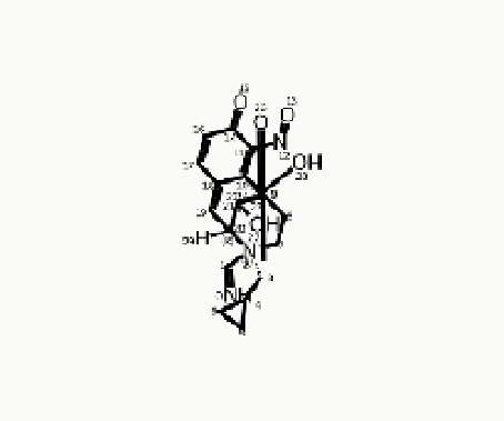 N=C[N@+]1(CC2CC2)CCC23C4=C(N=O)C(=O)C=CC4=C[C@@H]1[C@]2(O)CCC(=O)C3O